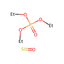 CCOP(=O)(OCC)OCC.O=S